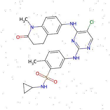 Cc1ccc(Nc2ncc(Cl)c(Nc3ccc4c(c3)CCC(=O)N4C)n2)cc1S(=O)(=O)NC1CC1